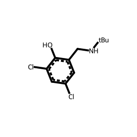 CC(C)(C)NCc1cc(Cl)cc(Cl)c1O